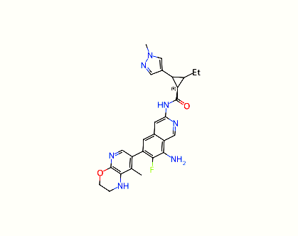 CCC1C(c2cnn(C)c2)[C@@H]1C(=O)Nc1cc2cc(-c3cnc4c(c3C)NCCO4)c(F)c(N)c2cn1